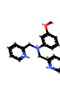 COc1cccc(N(Cc2ccccn2)Cc2ccccn2)c1